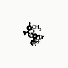 Cc1cc([C@H](C2CC2)N2CCc3c(cc(CBr)cc3-c3cccnc3C(F)(F)F)C2=O)ccc1F